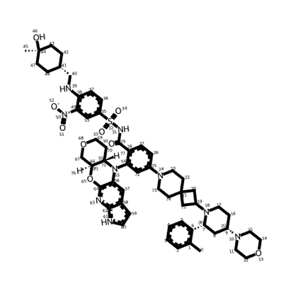 Cc1ccccc1[C@H]1C[C@@H](N2CCOCC2)CCN1C1CC2(CCN(c3ccc(C(=O)NS(=O)(=O)c4ccc(NC[C@H]5CC[C@](C)(O)CC5)c([N+](=O)[O-])c4)c(N4c5cc6cc[nH]c6nc5O[C@H]5COCC[C@@H]54)c3)CC2)C1